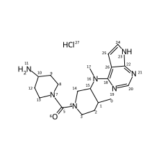 CC1CCN(C(=O)N2CCC(N)CC2)CC1N(C)c1ncnc2[nH]ccc12.Cl